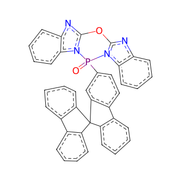 O=P1(c2ccc3c(c2)C2(c4ccccc4-c4ccccc42)c2ccccc2-3)n2c(nc3ccccc32)Oc2nc3ccccc3n21